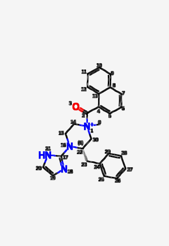 C[N+]1(C(=O)c2cccc3ccccc23)CCN(c2ncc[nH]2)[C@@H](Cc2ccccc2)C1